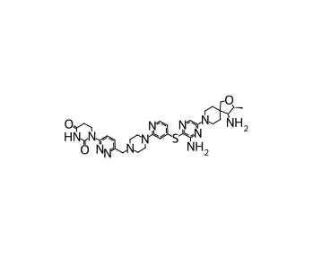 C[C@@H]1OCC2(CCN(c3cnc(Sc4ccnc(N5CCN(Cc6ccc(N7CCC(=O)NC7=O)nn6)CC5)c4)c(N)n3)CC2)[C@@H]1N